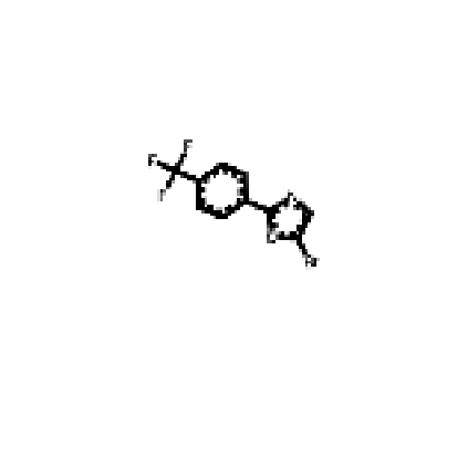 FC(F)(F)c1ccc(-c2ncc(Br)o2)cc1